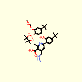 COCOc1cc(C(C)(C)C)ccc1B1OC(C)(C)C(C)(C)O1.Cc1nc(-c2ccc(C(C)(C)C)cc2O)cc(CN)c1C(=O)O